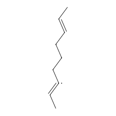 CC=CCCC/[C]=C/C